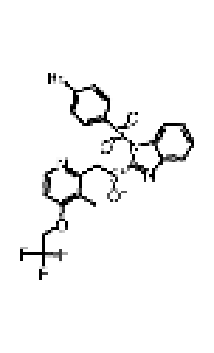 Cc1c(OCC(F)(F)F)ccnc1C[S+]([O-])c1nc2ccccc2n1S(=O)(=O)c1ccc(Br)cc1